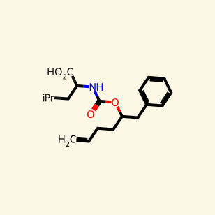 C=CCCC(Cc1ccccc1)OC(=O)NC(CC(C)C)C(=O)O